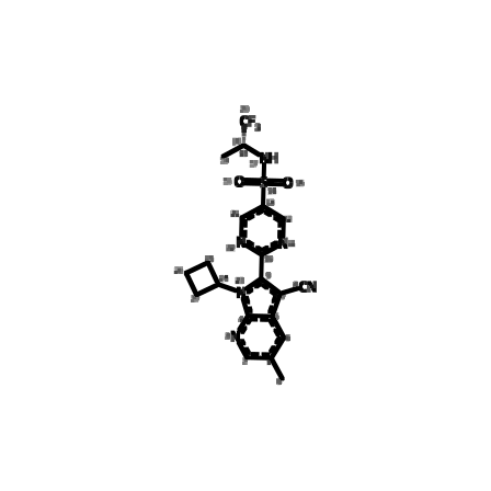 Cc1cnc2c(c1)c(C#N)c(-c1ncc(S(=O)(=O)N[C@H](C)C(F)(F)F)cn1)n2C1CCC1